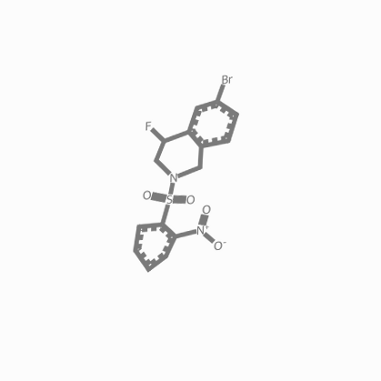 O=[N+]([O-])c1ccccc1S(=O)(=O)N1Cc2ccc(Br)cc2C(F)C1